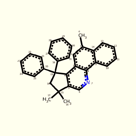 Cc1cc2c3c(cnc2c2ccccc12)C(C)(C)CC3(c1ccccc1)c1ccccc1